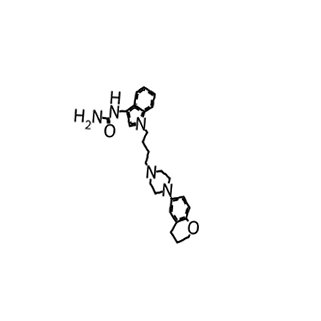 NC(=O)Nc1cn(CCCCN2CCN(c3ccc4c(c3)CCCO4)CC2)c2ccccc12